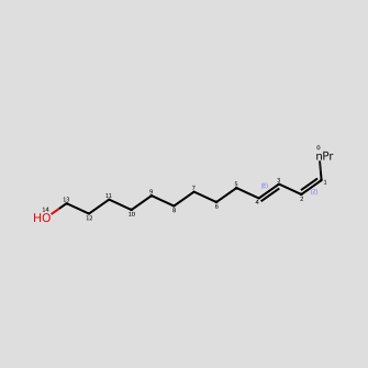 CCC/C=C\C=C\CCCCCCCCCO